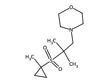 CC(C)(CN1CCOCC1)S(=O)(=O)C1(C)CC1